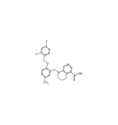 Cc1ccc(OCc2ccc(F)cc2F)c(CN2CCCc3c(C(=O)O)cncc32)c1